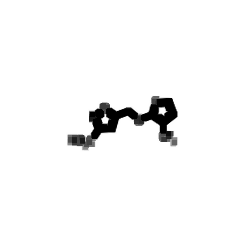 O=C(O)c1cc(COc2sccc2C(F)(F)F)on1